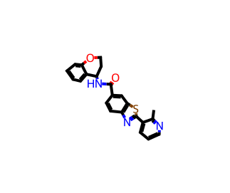 Cc1ncccc1-c1nc2ccc(C(=O)NC3CCOc4ccccc43)cc2s1